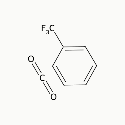 FC(F)(F)c1ccccc1.O=C=O